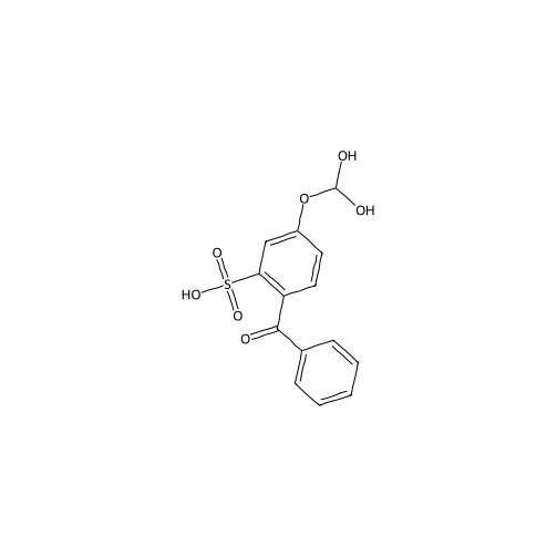 O=C(c1ccccc1)c1ccc(OC(O)O)cc1S(=O)(=O)O